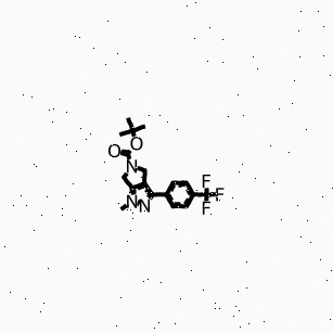 Cn1nc(-c2ccc(C(F)(F)F)cc2)c2c1CN(C(=O)OC(C)(C)C)C2